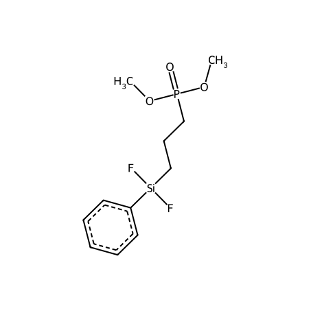 COP(=O)(CCC[Si](F)(F)c1ccccc1)OC